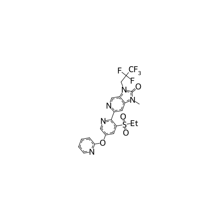 CCS(=O)(=O)c1cc(Oc2ccccn2)cnc1-c1cc2c(cn1)n(CC(F)(F)C(F)(F)F)c(=O)n2C